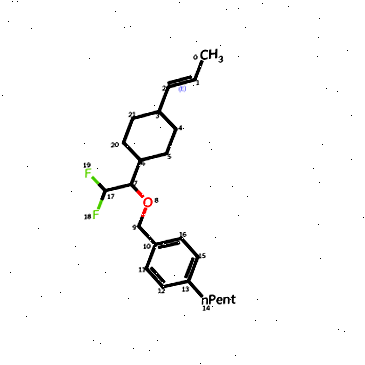 C/C=C/C1CCC(C(OCc2ccc(CCCCC)cc2)C(F)F)CC1